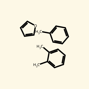 Cc1ccccc1.Cc1ccccc1C.c1ccoc1